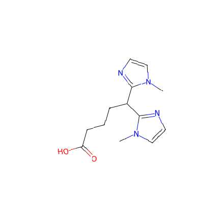 Cn1ccnc1C(CCCC(=O)O)c1nccn1C